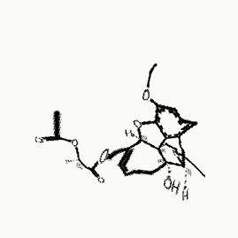 COc1ccc2c3c1O[C@@H]1C(OC(=O)[C@H](C)OC(C)=O)=CC[C@]4(O)[C@H](C2)N(C)CC[C@@]314